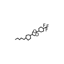 CCCCCC1CCC(C2COC(C3CCC(C(F)(F)F)CC3)OC2)CC1